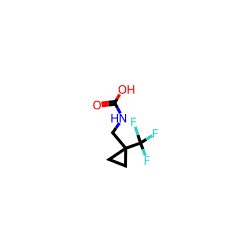 O=C(O)NCC1(C(F)(F)F)CC1